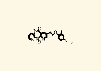 CCN1c2ncc(CCOc3ccc(N)cc3C)cc2C(=O)N(C)c2cccnc21